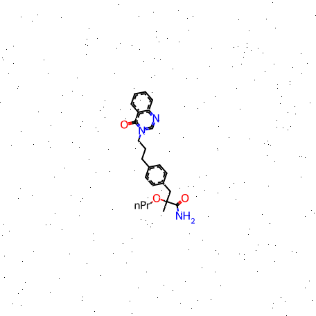 CCCOC(C)(Cc1ccc(CCCn2cnc3ccccc3c2=O)cc1)C(N)=O